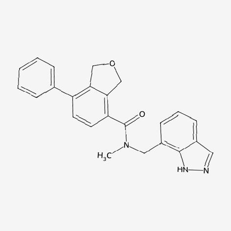 CN(Cc1cccc2cn[nH]c12)C(=O)c1ccc(-c2ccccc2)c2c1COC2